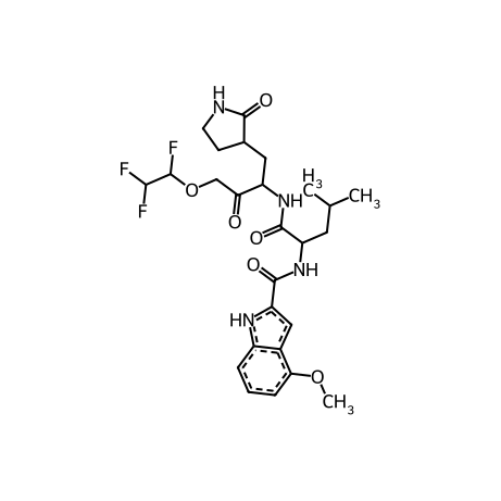 COc1cccc2[nH]c(C(=O)NC(CC(C)C)C(=O)NC(CC3CCNC3=O)C(=O)COC(F)C(F)F)cc12